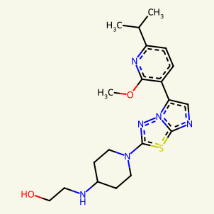 COc1nc(C(C)C)ccc1-c1cnc2sc(N3CCC(NCCO)CC3)nn12